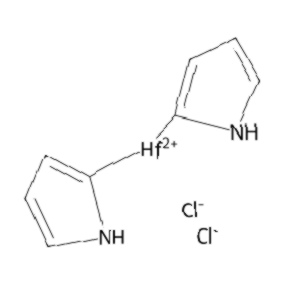 [Cl-].[Cl-].c1c[nH][c]([Hf+2][c]2ccc[nH]2)c1